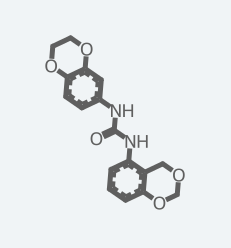 O=C(Nc1ccc2c(c1)OCCO2)Nc1cccc2c1COCO2